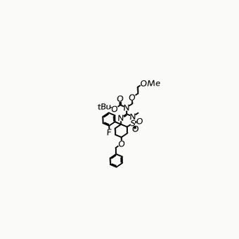 COCCOCN(C(=O)OC(C)(C)C)C1=NC2(c3ccccc3F)CCC(OCc3ccccc3)CC2S(=O)(=O)N1C